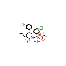 C=CC[C@@]1(C)CC(c2cccc(Cl)c2)[C@@H](c2ccc(Cl)cc2)N([C@@H](CC)CNS(=O)(=O)C(C)C)C1=O